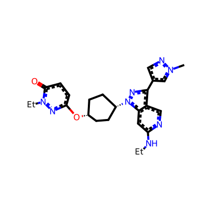 CCNc1cc2c(cn1)c(-c1cnn(C)c1)nn2[C@H]1CC[C@@H](Oc2ccc(=O)n(CC)n2)CC1